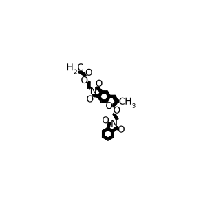 C=CC(=O)OCCN1C(=O)C2CCC(C=C(C)C(=O)OCCN3C(=O)C4CCCCC4C3=O)CC2C1=O